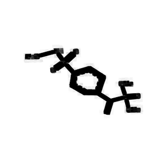 C=C(c1ccc(S(=O)(=O)NOC)cc1)P(=O)(OC)OC